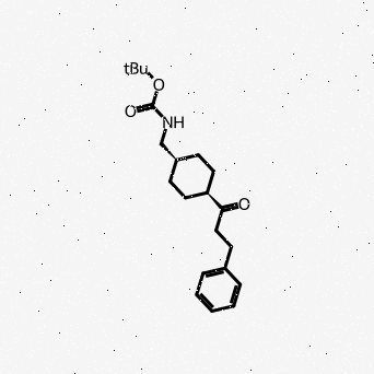 CC(C)(C)OC(=O)NC[C@H]1CC[C@@H](C(=O)CCc2ccccc2)CC1